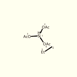 CC(=O)O[SiH](OC(C)=O)OC(C)=O.[CH2]CC